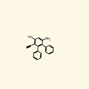 C#Cc1c(O)cc(N)c(-c2ccccc2)c1-c1ccccc1